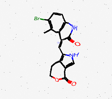 Cc1c(Br)ccc2c1/C(=C/c1[nH]cc3c1CCOC3=O)C(=O)N2